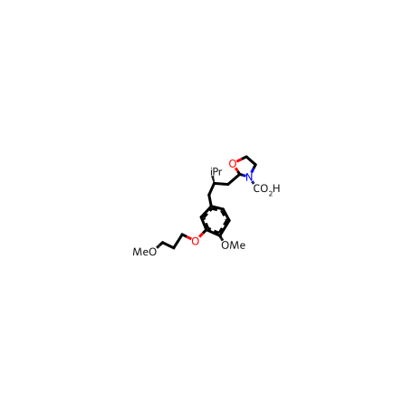 COCCCOc1cc(C[C@H](CC2OCCN2C(=O)O)C(C)C)ccc1OC